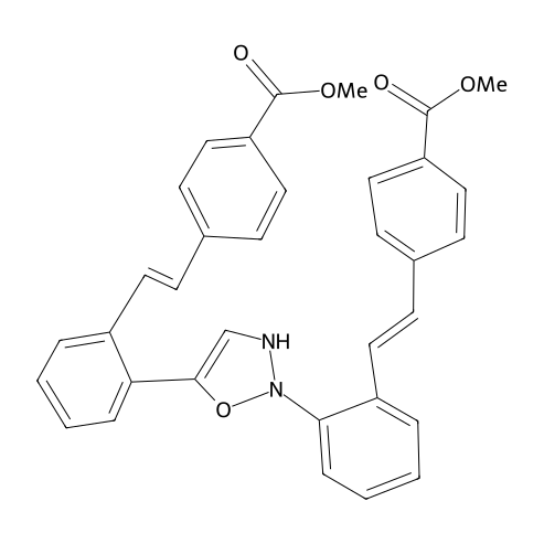 COC(=O)c1ccc(C=Cc2ccccc2C2=CNN(c3ccccc3C=Cc3ccc(C(=O)OC)cc3)O2)cc1